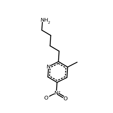 Cc1cc([N+](=O)[O-])cnc1CCCCN